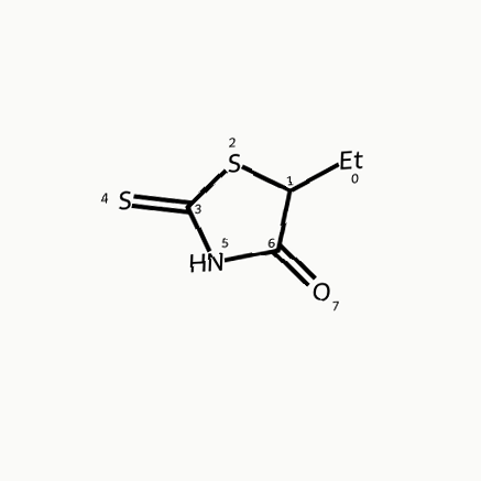 CCC1SC(=S)NC1=O